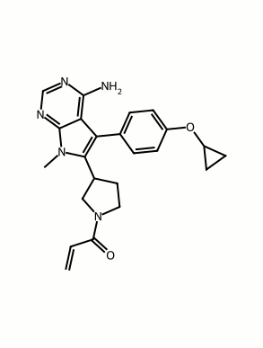 C=CC(=O)N1CCC(c2c(-c3ccc(OC4CC4)cc3)c3c(N)ncnc3n2C)C1